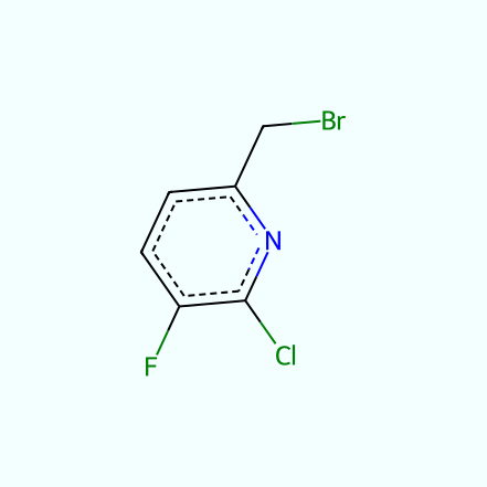 Fc1ccc(CBr)nc1Cl